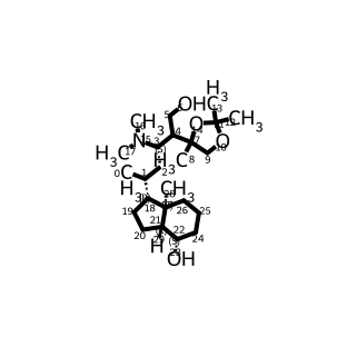 CC(C[C@@H](C(CO)C1(C)COC(C)(C)O1)N(C)C)[C@H]1CC[C@H]2[C@@H](O)CCC[C@]12C